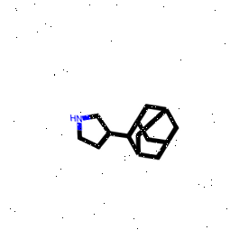 C1CC(C2C3CC4CC(C3)CC2C4)CN1